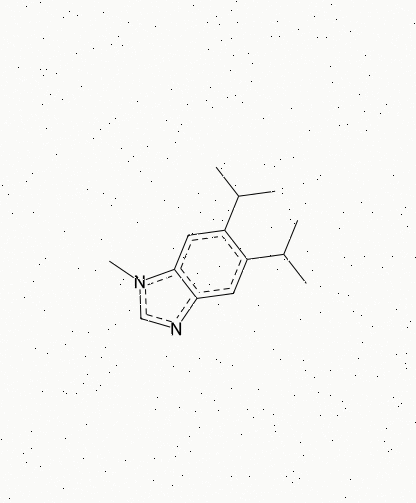 CC(C)c1cc2ncn(C)c2cc1C(C)C